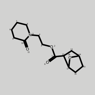 O=C(OCCN1CCCCC1=O)C1CC2CCC1O2